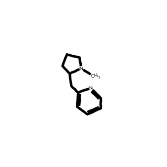 CN1CCCC1Cc1ccccn1